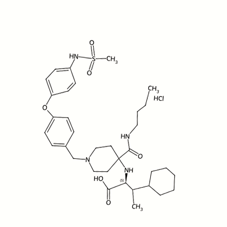 CCCCNC(=O)C1(N[C@H](C(=O)O)C(C)C2CCCCC2)CCN(Cc2ccc(Oc3ccc(NS(C)(=O)=O)cc3)cc2)CC1.Cl